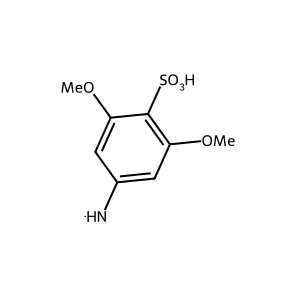 COc1cc([NH])cc(OC)c1S(=O)(=O)O